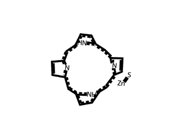 C1=Cc2cc3ccc(cc4nc(cc5ccc(cc1n2)[nH]5)C=C4)[nH]3.[S]=[Zn]